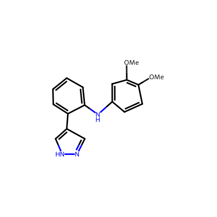 COc1ccc(Nc2ccccc2-c2cn[nH]c2)cc1OC